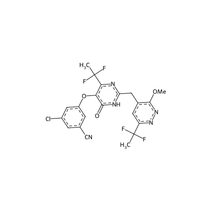 COc1nnc(C(C)(F)F)cc1Cc1nc(C(C)(F)F)c(Oc2cc(Cl)cc(C#N)c2)c(=O)[nH]1